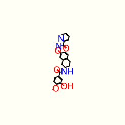 COc1ccc(C(=O)NC2CCc3ccc(ON(C)C(=O)c4ccccn4)cc3C2)cc1O